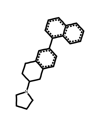 c1ccc2c(-c3ccc4c(c3)CCC(N3CCCC3)C4)cccc2c1